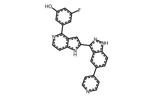 Oc1cc(F)cc(-c2nccc3[nH]c(-c4n[nH]c5ccc(-c6ccncc6)cc45)cc23)c1